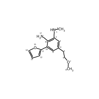 CNc1cc(CCOC)cc(-c2ccco2)c1N